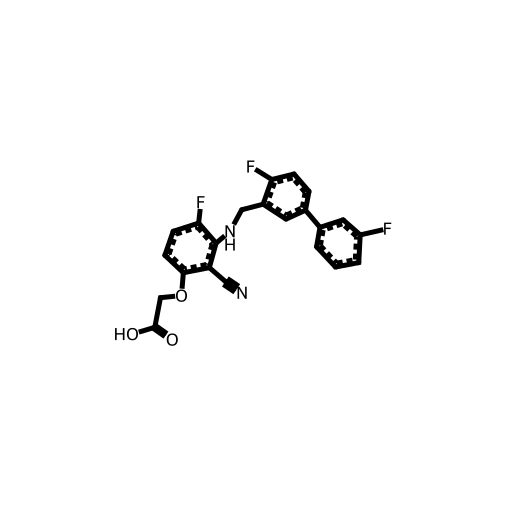 N#Cc1c(OCC(=O)O)ccc(F)c1NCc1cc(-c2cccc(F)c2)ccc1F